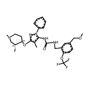 COCc1ccc(OC(F)(F)F)c(CNC(=O)Nc2c(C)c(O[C@@H]3CCN(C)C[C@H]3F)nn2-c2ccccc2)c1